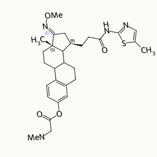 CNCC(=O)Oc1ccc2c(c1)CCC1C2CC[C@]2(C)/C(=N/OC)C[C@@H](CCC(=O)Nc3ncc(C)s3)C12